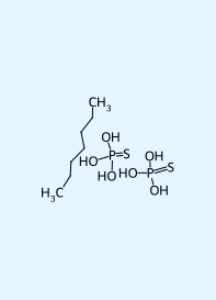 CCCCCCC.OP(O)(O)=S.OP(O)(O)=S